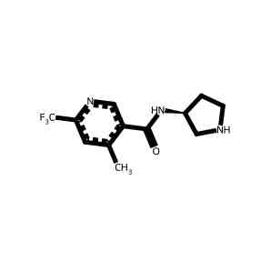 Cc1cc(C(F)(F)F)ncc1C(=O)N[C@H]1CCNC1